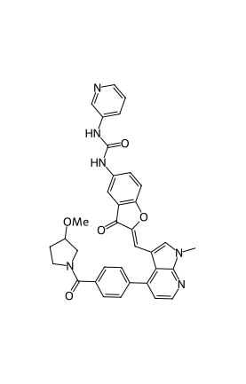 COC1CCN(C(=O)c2ccc(-c3ccnc4c3c(C=C3Oc5ccc(NC(=O)Nc6cccnc6)cc5C3=O)cn4C)cc2)C1